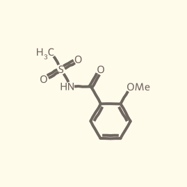 COc1ccccc1C(=O)NS(C)(=O)=O